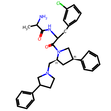 CC(N)C(=O)NC(Cc1cccc(Cl)c1)C(=O)N1C[C@@H](c2ccccc2)C[C@H]1CN1CCC(c2ccccc2)C1